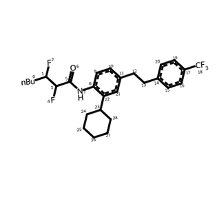 CCCCC(F)C(F)C(=O)Nc1ccc(CCc2ccc(C(F)(F)F)cc2)cc1C1CCCCC1